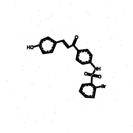 O=C(/C=C/c1ccc(O)cc1)c1ccc(NS(=O)(=O)c2ccccc2Br)cc1